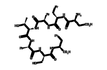 CC(C)C[C@H](NC(=O)[C@H](CO)NC(=O)[C@@H](NC(=O)[C@@H](NC(=O)[C@@H](NC(=O)[C@H](CC(C)C)NC(=O)[C@@H](N)CC(=O)O)C(C)C)[C@@H](C)O)C(C)C)C(=O)O